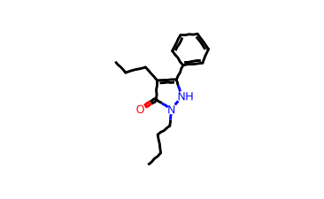 CCCCn1[nH]c(-c2ccccc2)c(CCC)c1=O